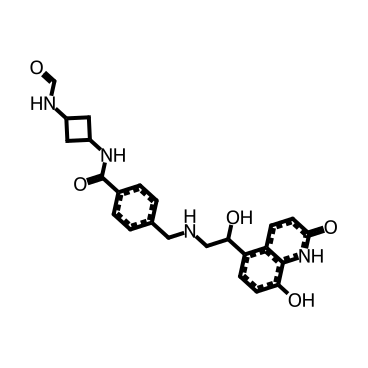 O=CNC1CC(NC(=O)c2ccc(CNCC(O)c3ccc(O)c4[nH]c(=O)ccc34)cc2)C1